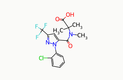 CN(C(=O)c1cc(C(F)(F)F)nn1-c1ccccc1Cl)C(C)(C)C(=O)O